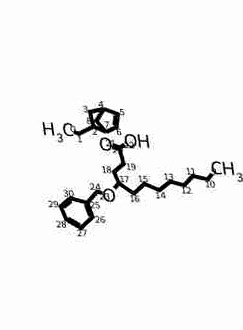 CCC1CC2C=CC1C2.CCCCCCCCC(CCC(=O)O)OCc1ccccc1